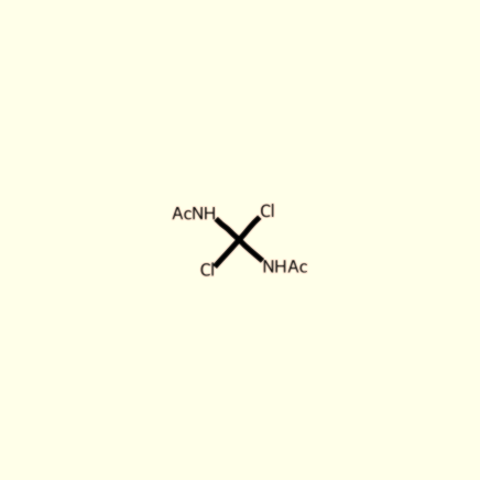 CC(=O)NC(Cl)(Cl)NC(C)=O